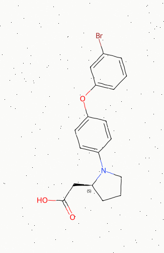 O=C(O)C[C@@H]1CCCN1c1ccc(Oc2cccc(Br)c2)cc1